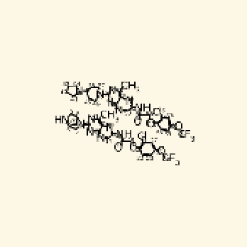 Cc1nc(N2CC3CC2CN3)nc2ncc(NC(=O)COc3ccc(OC(F)(F)F)cc3Cl)nc12.Cc1nc(N2CCC(N3CCCC3)CC2)nc2ncc(NC(=O)COc3ccc(OC(F)(F)F)cc3Cl)nc12